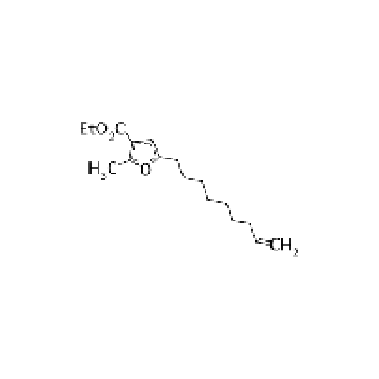 C=CCCCCCCCc1cc(C(=O)OCC)c(C)o1